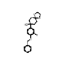 OC1(c2ccc(OCc3ccccc3)c(F)c2)CCC2(CC1)OCCO2